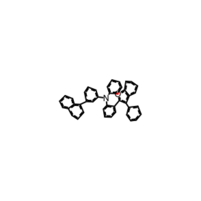 c1ccc(-c2c(-c3ccccc3N(c3ccccc3)c3cccc(-c4cccc5ccccc45)c3)oc3ccccc23)cc1